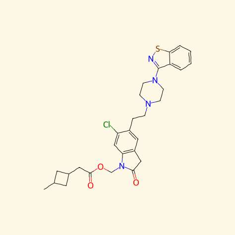 CC1CC(CC(=O)OCN2C(=O)Cc3cc(CCN4CCN(c5nsc6ccccc56)CC4)c(Cl)cc32)C1